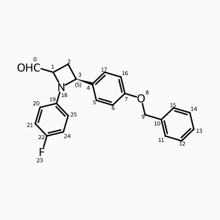 O=CC1C[C@@H](c2ccc(OCc3ccccc3)cc2)N1c1ccc(F)cc1